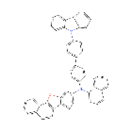 c1ccc2c(N(c3ccc(-c4ccc(-n5c6ccccc6c6ccccc65)cc4)cc3)c3ccc4c(c3)oc3c5ccccc5ccc43)cccc2c1